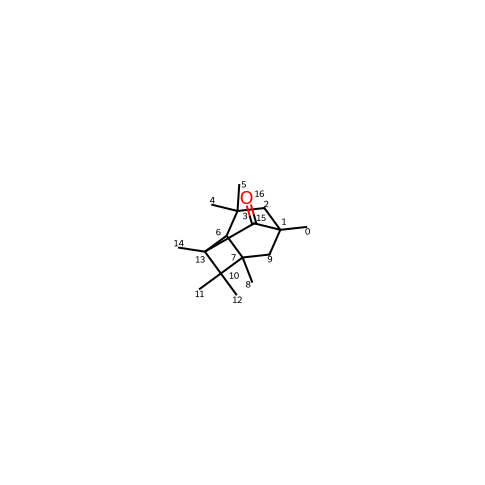 CC12CC(C)(C)C3C(C)(C1)C(C)(C)C3(C)C2=O